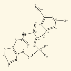 COc1nnccc1Cc1nc(C(F)(F)F)c(Oc2cc(Cl)cc(C#N)c2)c(=O)[nH]1